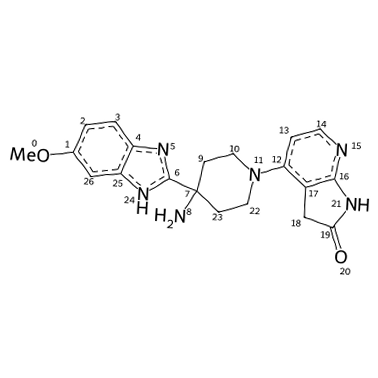 COc1ccc2nc(C3(N)CCN(c4ccnc5c4CC(=O)N5)CC3)[nH]c2c1